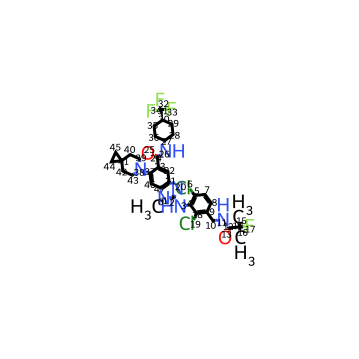 Cn1c(Nc2c(Cl)ccc(CNC(=O)C(C)(C)F)c2Cl)nc2cc(C(=O)N[C@H]3CC[C@H](C(F)(F)F)CC3)c(N3CCC4(CC3)CC4)cc21